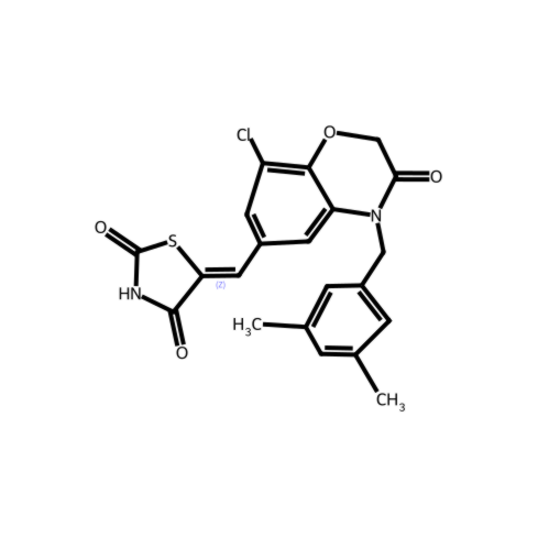 Cc1cc(C)cc(CN2C(=O)COc3c(Cl)cc(/C=C4\SC(=O)NC4=O)cc32)c1